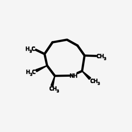 CC1CCCC(C)[C@H](C)[C@H](C)N[C@@H]1C